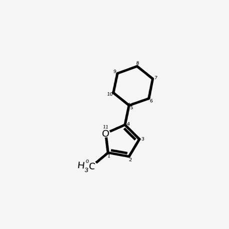 Cc1ccc([C]2CCCCC2)o1